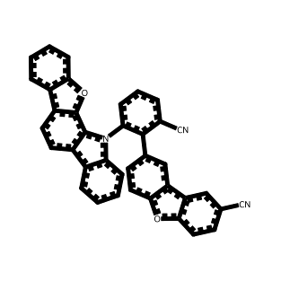 N#Cc1ccc2oc3ccc(-c4c(C#N)cccc4-n4c5ccccc5c5ccc6c7ccccc7oc6c54)cc3c2c1